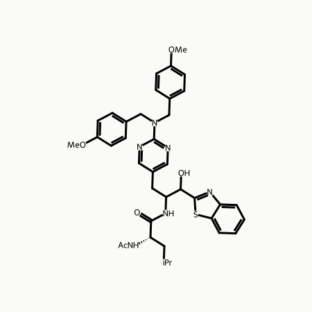 COc1ccc(CN(Cc2ccc(OC)cc2)c2ncc(CC(NC(=O)[C@H](CC(C)C)NC(C)=O)C(O)c3nc4ccccc4s3)cn2)cc1